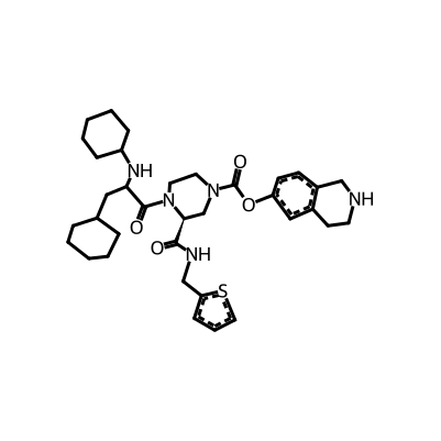 O=C(NCc1cccs1)[C@@H]1CN(C(=O)Oc2ccc3c(c2)CCNC3)CCN1C(=O)C(CC1CCCCC1)NC1CCCCC1